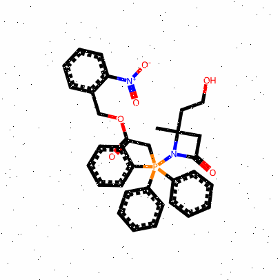 CC1(CCO)CC(=O)N1P(CC(=O)OCc1ccccc1[N+](=O)[O-])(c1ccccc1)(c1ccccc1)c1ccccc1